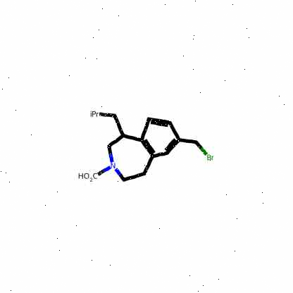 CC(C)CC1CN(C(=O)O)CCc2cc(CBr)ccc21